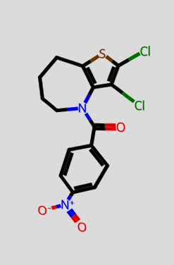 O=C(c1ccc([N+](=O)[O-])cc1)N1CCCCc2sc(Cl)c(Cl)c21